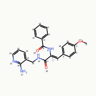 COc1ccc(/C=C(\NC(=O)c2ccccc2)C(=O)NCc2cccnc2N)cc1